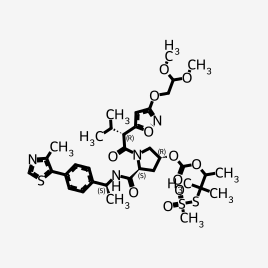 COC(COc1cc([C@H](C(=O)N2C[C@H](OC(=O)OC(C)C(C)(C)SS(C)(=O)=O)C[C@H]2C(=O)N[C@@H](C)c2ccc(-c3scnc3C)cc2)C(C)C)on1)OC